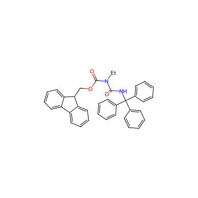 CCN(C(=O)NC(c1ccccc1)(c1ccccc1)c1ccccc1)C(=O)OCC1c2ccccc2-c2ccccc21